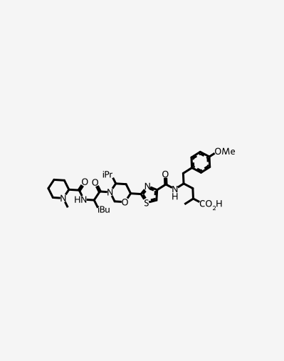 CCC(C)C(NC(=O)C1CCCCN1C)C(=O)N1COC(c2nc(C(=O)NC(Cc3ccc(OC)cc3)CC(C)C(=O)O)cs2)CC1C(C)C